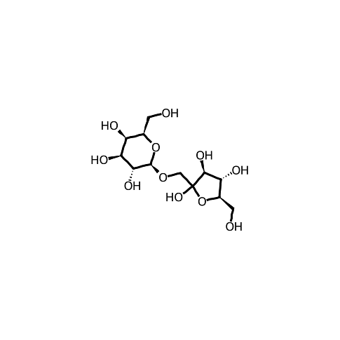 OC[C@H]1O[C@@H](OCC2(O)O[C@H](CO)[C@@H](O)[C@@H]2O)[C@H](O)[C@@H](O)[C@H]1O